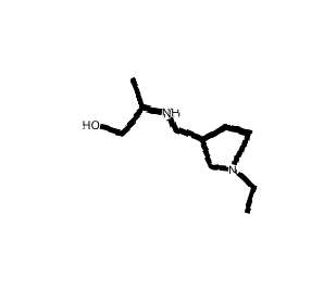 CCN1CCC(CNC(C)CO)C1